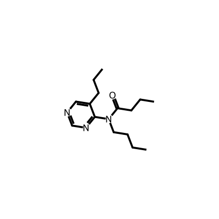 CCCCN(C(=O)CCC)c1ncncc1CCC